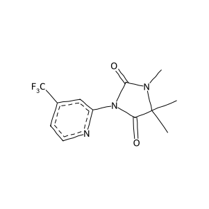 CN1C(=O)N(c2cc(C(F)(F)F)ccn2)C(=O)C1(C)C